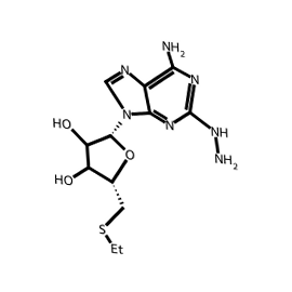 CCSC[C@H]1O[C@@H](n2cnc3c(N)nc(NN)nc32)C(O)C1O